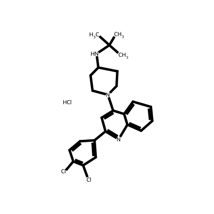 CC(C)(C)NC1CCN(c2cc(-c3ccc(Cl)c(Cl)c3)nc3ccccc23)CC1.Cl